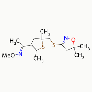 CON=C(C)C1=C(C)SC(C)(CSC2=NOC(C)(C)C2)C1